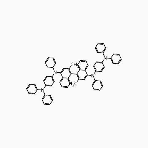 Cc1cc(N(c2ccccc2)c2ccc(N(c3ccccc3)c3ccccc3)cc2)c2ccccc2c1-c1c(C)cc(N(c2ccc(N(c3ccccc3)c3ccccc3)cc2)C2C=CC=CC2)c2ccccc12